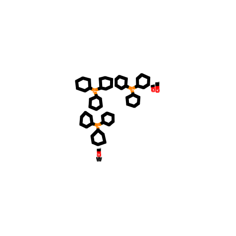 C1CCC(P(C2CCCCC2)C2CCCCC2)CC1.C1CCC(P(C2CCCCC2)C2CCCCC2)CC1.C1CCC(P(C2CCCCC2)C2CCCCC2)CC1.[C]=O.[C]=O.[C]=O.[W]